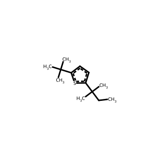 CCC(C)(C)c1ccc(C(C)(C)C)s1